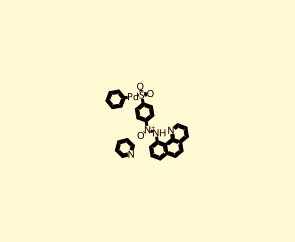 O=[N+](Nc1cccc2ccc3cccnc3c12)c1ccc([S](=O)(=O)[Pd][c]2ccccc2)cc1.c1ccncc1